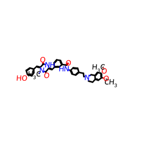 COc1cc2c(cc1OC)CN(CCc1ccc(NC(=O)c3cccc(/C=c4\[nH]c(=O)/c(=C/c5ccc(O)cc5)n(C)c4=O)c3)cc1)CC2